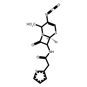 O=C=NC1=CS[C@H]2C(NC(=O)Cc3cccs3)C(=O)N2C1C(=O)O